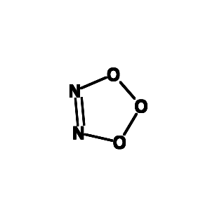 N1=NOOO1